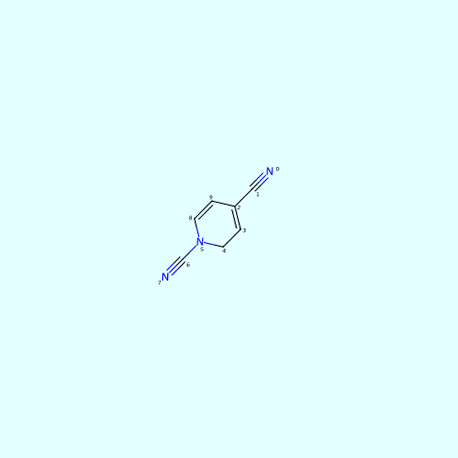 N#CC1=CCN(C#N)C=C1